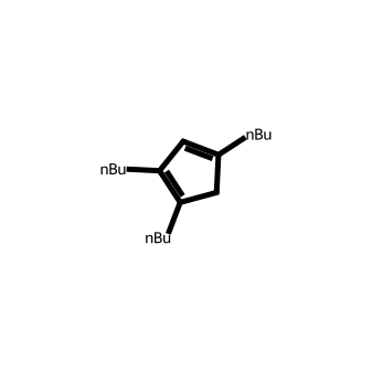 CCCCC1=CC(CCCC)=C(CCCC)C1